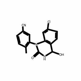 Cc1ccc(C#N)cc1N1C(=O)NC(O)c2ccc(Cl)cc21